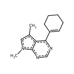 Cc1cn(C)c2ncnc(C3=CCCCC3)c12